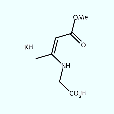 COC(=O)C=C(C)NCC(=O)O.[KH]